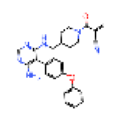 C=C(C#N)C(=O)N1CCC(CNc2ncnc(N)c2-c2ccc(Oc3ccccc3)cc2)CC1